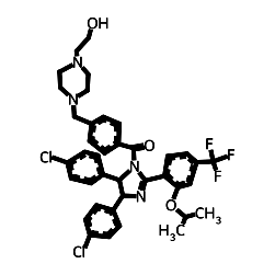 CC(C)Oc1cc(C(F)(F)F)ccc1C1=NC(c2ccc(Cl)cc2)C(c2ccc(Cl)cc2)N1C(=O)c1ccc(CN2CCN(CCO)CC2)cc1